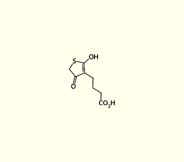 O=C(O)CCCC1=C(O)SCC1=O